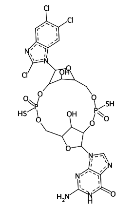 Nc1nc2c(ncn2C2OC3COP(=O)(S)OC4C(O)C(COP(=O)(S)OC2C3O)OC4n2c(Cl)nc3cc(Cl)c(Cl)cc32)c(=O)[nH]1